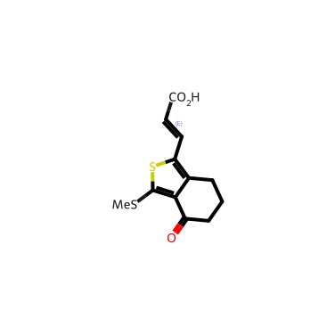 CSc1sc(/C=C/C(=O)O)c2c1C(=O)CCC2